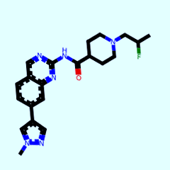 CC(F)CN1CCC(C(=O)Nc2ncc3ccc(-c4cnn(C)c4)cc3n2)CC1